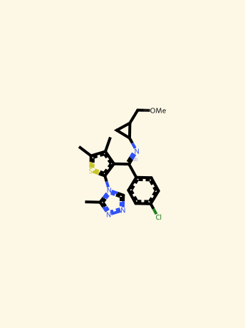 COCC1CC1/N=C(/c1ccc(Cl)cc1)c1c(-n2cnnc2C)sc(C)c1C